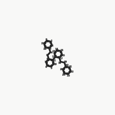 c1ccc(CCc2ccccc2-c2ccccc2CCc2ccccc2)cc1